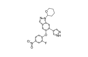 O=[N+]([O-])c1ccc(Oc2cc3cnn(C4CCCCO4)c3cc2-c2cn[nH]c2)c(F)c1